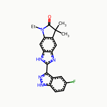 CCN1C(=O)C(C)(C)c2cc3nc(-c4n[nH]c5ccc(F)cc45)[nH]c3cc21